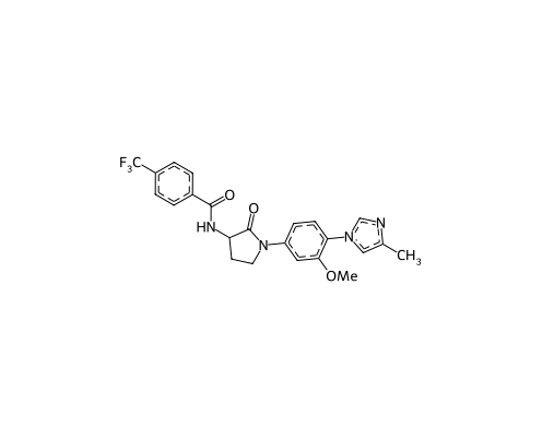 COc1cc(N2CCC(NC(=O)c3ccc(C(F)(F)F)cc3)C2=O)ccc1-n1cnc(C)c1